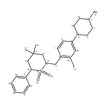 CC(=O)N1CCN(c2ccc(CN3CC(C)(C)CC(c4ccccc4)S3(=O)=O)c(F)c2)CC1